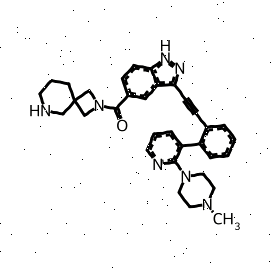 CN1CCN(c2ncccc2-c2ccccc2C#Cc2n[nH]c3ccc(C(=O)N4CC5(CCCNC5)C4)cc23)CC1